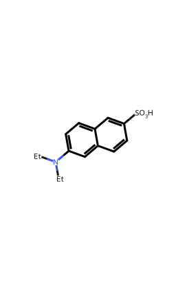 CCN(CC)c1ccc2cc(S(=O)(=O)O)ccc2c1